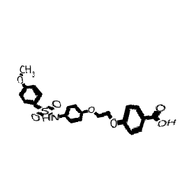 COc1ccc(S(=O)(=O)Nc2ccc(OCCOc3ccc(C(=O)O)cc3)cc2)cc1